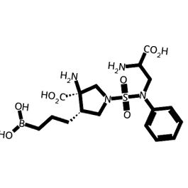 NC(CN(c1ccccc1)S(=O)(=O)N1C[C@H](CCCB(O)O)[C@](N)(C(=O)O)C1)C(=O)O